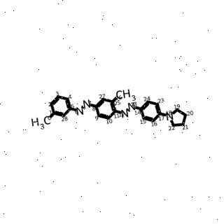 Cc1cccc(/N=N/c2ccc(/N=N/c3ccc(N4CCCC4)cc3)c(C)c2)c1